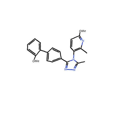 COc1ccc(-n2c(C)nnc2-c2ccc(-c3ccccc3OC)cc2)c(C)n1